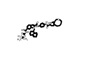 CC(C)(C)OC(=O)NC(=N)c1ccc2cc(C(=O)Nc3ccc(NC(=O)C4CCC5(CCCCCCCCC5)CN4)cc3)n(Cc3cccc4ccccc34)c2c1